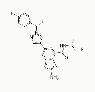 CC[C@@H](c1ccc(F)cc1)n1cc(-c2cc(C(=O)NC(C)CF)n3nc(N)nc3c2)cn1